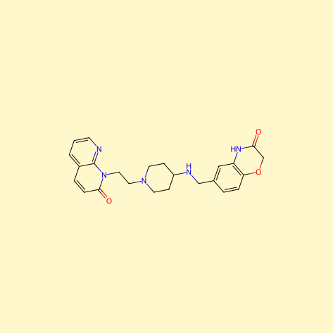 O=C1COc2ccc(CNC3CCN(CCn4c(=O)ccc5cccnc54)CC3)cc2N1